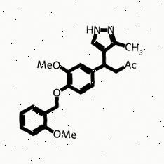 COc1ccccc1COc1ccc(C(CC(C)=O)c2c[nH]nc2C)cc1OC